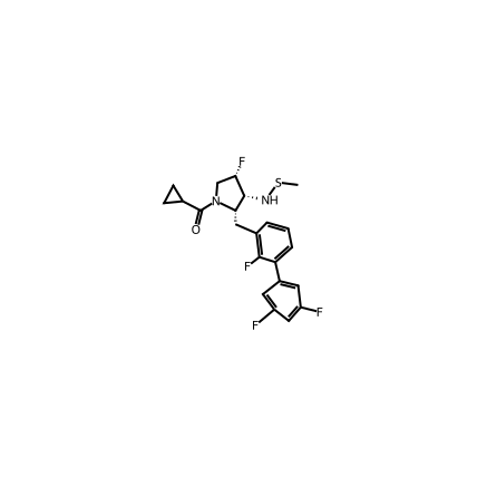 CSN[C@H]1[C@@H](F)CN(C(=O)C2CC2)[C@H]1Cc1cccc(-c2cc(F)cc(F)c2)c1F